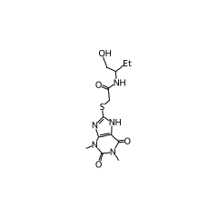 CCC(CO)NC(=O)CSc1nc2c([nH]1)c(=O)n(C)c(=O)n2C